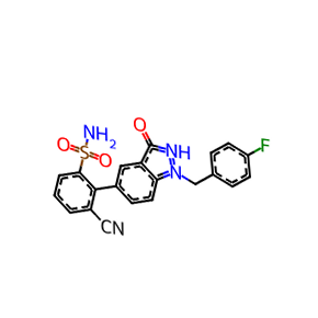 N#Cc1cccc(S(N)(=O)=O)c1-c1ccc2c(c1)c(=O)[nH]n2Cc1ccc(F)cc1